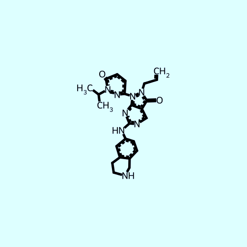 C=CCn1c(=O)c2cnc(Nc3ccc4c(c3)CCNC4)nc2n1-c1ccc(=O)n(C(C)C)n1